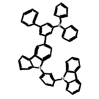 c1ccc(-c2cc(-c3ccc4c(c3)c3ccccc3n4-c3cccc(-n4c5ccccc5c5ccccc54)c3)cc(N(c3ccccc3)c3ccccc3)c2)cc1